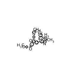 CO[C@H]1C[C@H](C(=O)N2CCC3(CC2)C(=O)N([C@H]2C[C@@H](N4CCC(C)(C)C4)C2)c2cc(-c4cc5ncn(C(C)C)c5c(Nc5ccncc5F)n4)ccc23)C1